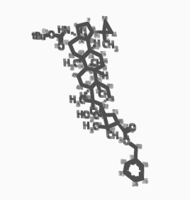 CC(C)(C)OC(=O)N[C@]12CC[C@@H](C3(C)CC3)[C@@H]1[C@H]1CC[C@@H]3[C@]4(C)CC[C@H]([C@@]5(C(=O)O)C[C@@H](C(=O)OCc6ccccc6)C5(C)C)C(C)(C)[C@H]4CC[C@@]3(C)[C@]1(C)CC2